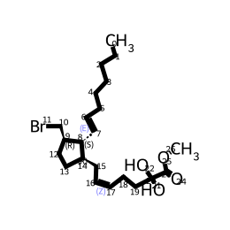 CCCCCC/C=C/[C@H]1[C@H](CBr)CC[C@@H]1C/C=C\CCC(O)(O)C(=O)OC